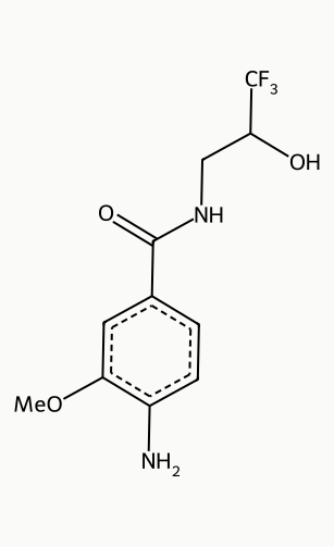 COc1cc(C(=O)NCC(O)C(F)(F)F)ccc1N